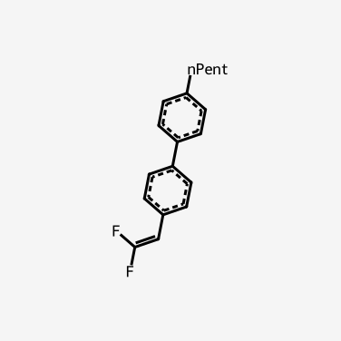 CCCCCc1ccc(-c2ccc(C=C(F)F)cc2)cc1